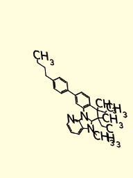 CCCCc1ccc(-c2ccc3c(c2)N2c4ncccc4N(C)C2C(C)(CC)C3(C)CC)cc1